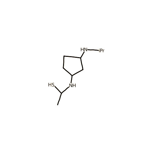 CC(C)NC1CCC(NC(C)S)C1